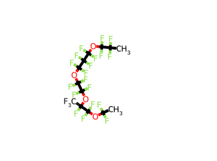 CC(F)(F)OC(F)(F)C(F)(OC(F)(F)C(F)(F)OC(F)(F)C(F)(F)C(F)(F)OC(F)(F)C(C)(F)F)C(F)(F)F